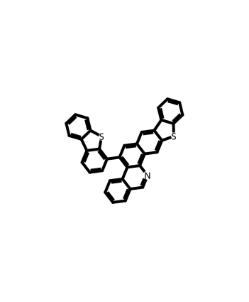 c1ccc2c(c1)cnc1c3cc4sc5ccccc5c4cc3cc(-c3cccc4c3sc3ccccc34)c21